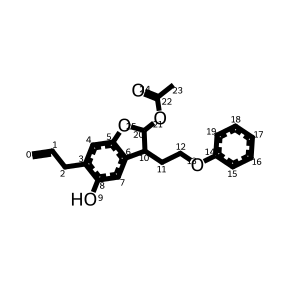 C=CCc1cc2c(cc1O)C(CCOc1ccccc1)C(OC(C)=O)O2